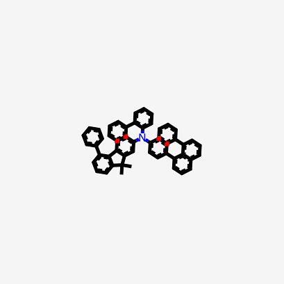 CC1(C)c2cc(N(c3ccc(-c4cccc5cccc(-c6ccccc6)c45)cc3)c3ccccc3-c3ccccc3)ccc2-c2c(-c3ccccc3)cccc21